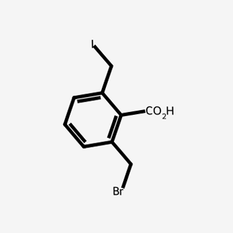 O=C(O)c1c(CBr)cccc1CI